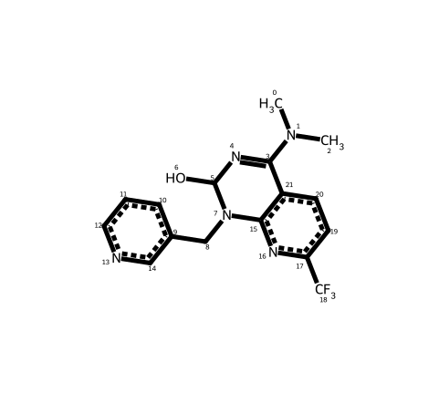 CN(C)C1=NC(O)N(Cc2cccnc2)c2nc(C(F)(F)F)ccc21